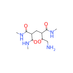 CNC(=O)C(CC(C(=O)NC)C(=O)NC)C(=O)CN